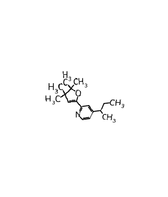 CCC(C)c1ccnc(C2=CC(C)(C)C(C)(C)O2)c1